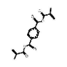 C=C(C)C(=O)OC(=O)c1ccc(C(=O)OC(=O)C(=C)C)cc1